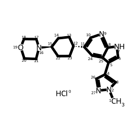 Cl.Cn1cc(-c2c[nH]c3ncc([C@H]4CC[C@H](N5CCOCC5)CC4)cc23)cn1